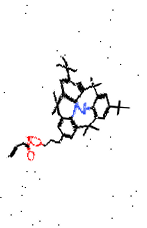 C=CC(=O)OCCCc1cc2c3c(c1)C(C)(C)c1cc(C(C)(C)C)cc4c1N3c1c(cc(C(C)(C)C)cc1C4(C)C)C2(C)C